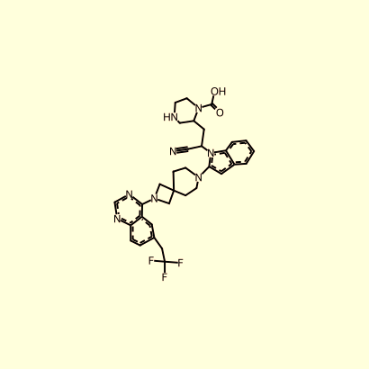 N#CC(CC1CNCCN1C(=O)O)n1c(N2CCC3(CC2)CN(c2ncnc4ccc(CC(F)(F)F)cc24)C3)cc2ccccc21